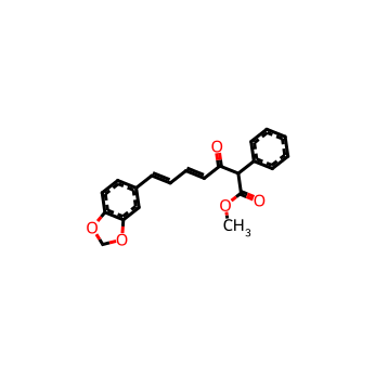 COC(=O)C(C(=O)C=CC=Cc1ccc2c(c1)OCO2)c1ccccc1